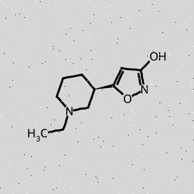 CCN1CCC[C@@H](c2cc(O)no2)C1